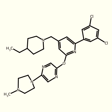 CCC1CCN(Cc2cc(Oc3cnc(N4CCN(C)CC4)cn3)nc(-c3cc(Cl)cc(Cl)c3)c2)CC1